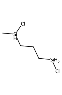 C[SiH](Cl)CCC[SiH2]Cl